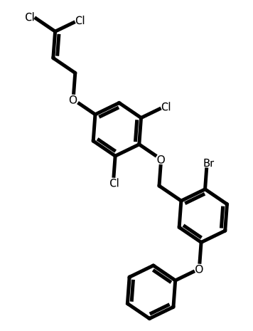 ClC(Cl)=CCOc1cc(Cl)c(OCc2cc(Oc3ccccc3)ccc2Br)c(Cl)c1